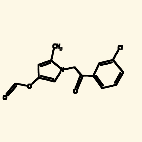 Cc1cc(OC=O)cn1CC(=O)c1cccc(Cl)c1